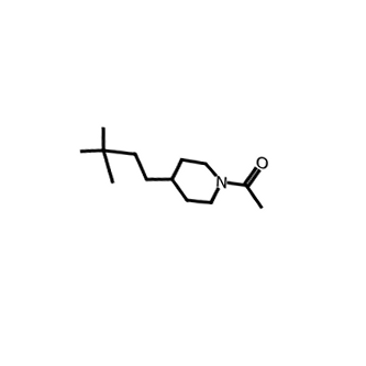 CC(=O)N1CCC(CCC(C)(C)C)CC1